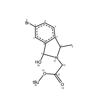 CC1c2ccc(Br)cc2C(O)N1CC(=O)OC(C)(C)C